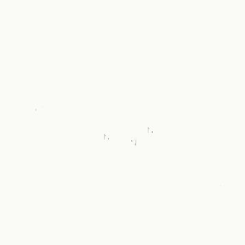 Clc1cccc(CC2CN(Cc3cccc(Cl)c3)NN(Cc3cccc(Cl)c3)C2)c1